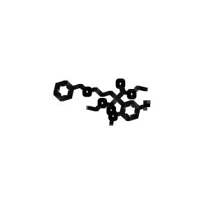 CCOC(=O)C(CCCOCc1ccccc1)(C(=O)OCC)c1cc(F)ccc1OC